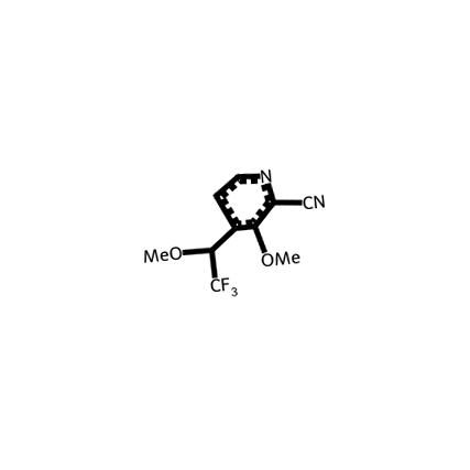 COc1c(C(OC)C(F)(F)F)ccnc1C#N